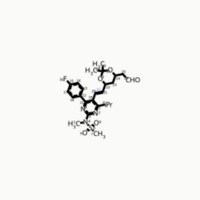 CC(C)c1nc(N(C)S(C)(=O)=O)nc(-c2ccc(F)cc2)c1/C=C/C1CC(CC=O)OC(C)(C)O1